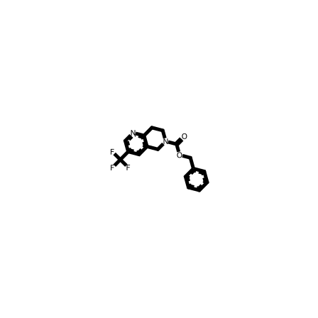 O=C(OCc1ccccc1)N1CCc2ncc(C(F)(F)F)cc2C1